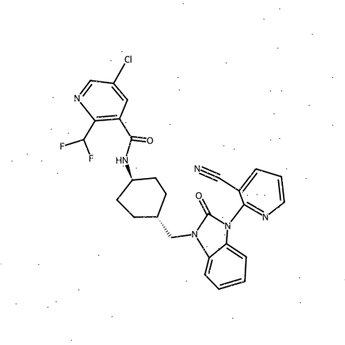 N#Cc1cccnc1-n1c(=O)n(C[C@H]2CC[C@H](NC(=O)c3cc(Cl)cnc3C(F)F)CC2)c2ccccc21